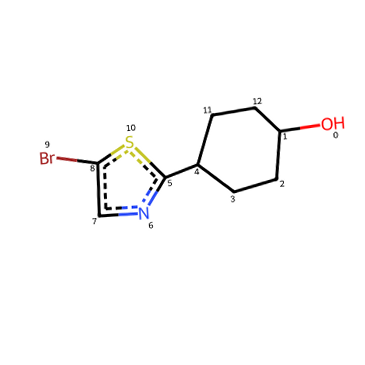 OC1CCC(c2ncc(Br)s2)CC1